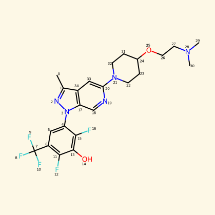 Cc1nn(-c2cc(C(F)(F)F)c(F)c(O)c2F)c2cnc(N3CCC(OCCN(C)C)CC3)cc12